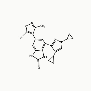 Cc1noc(C)c1-c1cc(-c2nn(C3CC3)cc2C2CC2)c2[nH]c(=O)[nH]c2c1